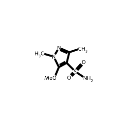 COc1c(S(N)(=O)=O)c(C)nn1C